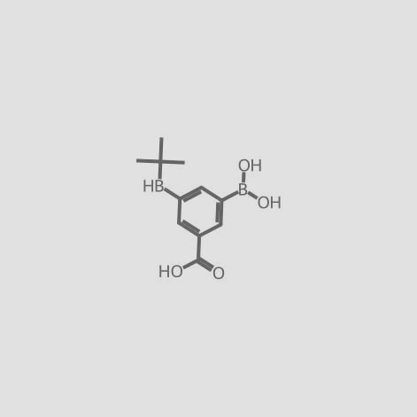 CC(C)(C)Bc1cc(B(O)O)cc(C(=O)O)c1